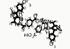 CC(=NNC(=S)N1CCC(C(=O)O)CC1)c1nn(C)c(-c2ccc(C(F)(F)F)cc2)c1O.COC(=O)C1CCN(C(=S)NN=C(C)c2nn(C)c(-c3ccc(C(F)(F)F)cc3)c2O)CC1